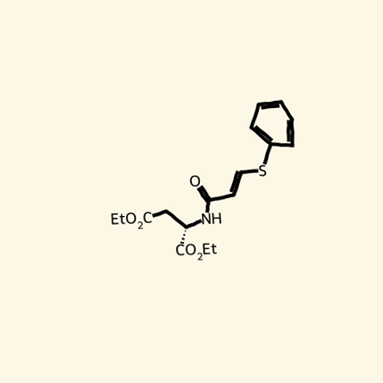 CCOC(=O)C[C@H](NC(=O)C=CSc1ccccc1)C(=O)OCC